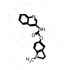 CN1CCc2cc(OC(=O)Nc3cnc4ccccc4c3)ccc21